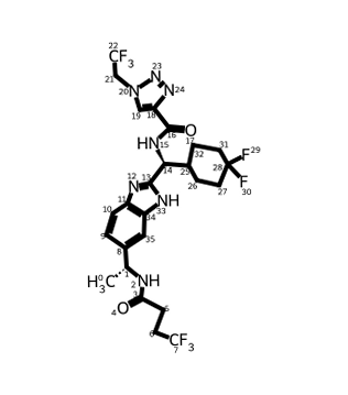 C[C@@H](NC(=O)CCC(F)(F)F)c1ccc2nc([C@@H](NC(=O)c3cn(CC(F)(F)F)nn3)C3CCC(F)(F)CC3)[nH]c2c1